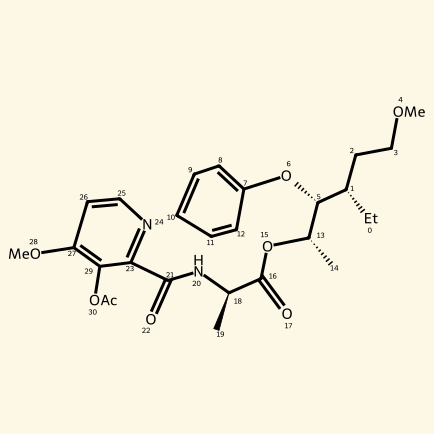 CC[C@@H](CCOC)[C@@H](Oc1ccccc1)[C@H](C)OC(=O)[C@@H](C)NC(=O)c1nccc(OC)c1OC(C)=O